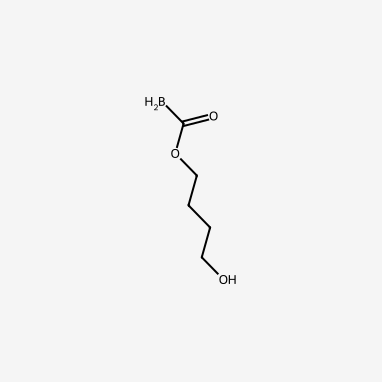 BC(=O)OCCCCO